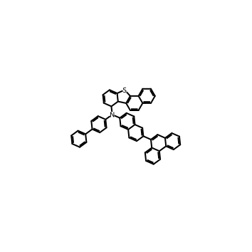 C1=CC(N(c2ccc(-c3ccccc3)cc2)c2ccc3cc(-c4cc5ccccc5c5ccccc45)ccc3c2)C2C(=C1)Sc1c2ccc2ccccc12